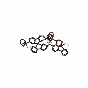 CC1(C)c2ccccc2-c2ccc(N(c3ccc4c(c3)C3(c5ccccc5-4)c4cc(C5(C)CC6CCC5C6)ccc4-c4ccc(C5(C)CC6CCC5C6)cc43)c3ccccc3-c3ccccc3)cc21